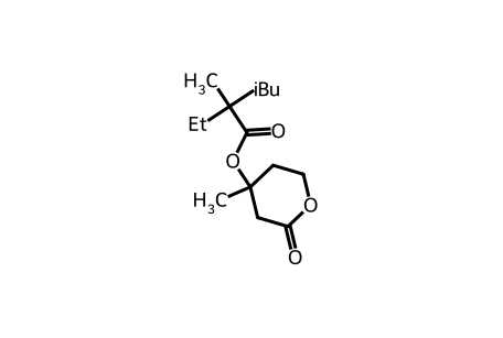 CCC(C)C(C)(CC)C(=O)OC1(C)CCOC(=O)C1